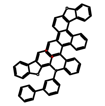 c1ccc(-c2cccc(N(c3ccccc3-c3cccc4c5ccc6oc7ccccc7c6c5c5ccccc5c34)c3cccc4c3oc3ccccc34)c2)cc1